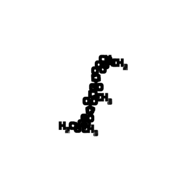 C=CC(=O)OC(C)OC(=O)Oc1ccc(C(=O)Oc2ccc(OC(=O)c3ccc(OC(=O)OC(C)OC(=O)C=C)cc3)c(C)c2)cc1